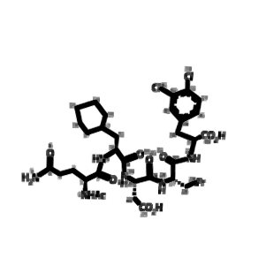 CC(=O)N[C@@H](CCC(N)=O)C(=O)N[C@@H](CC1CCCCC1)C(=O)N[C@@H](CC(=O)O)C(=O)N[C@@H](CC(C)C)C(=O)N[C@@H](Cc1ccc(Cl)c(Cl)c1)C(=O)O